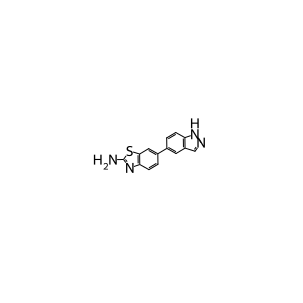 Nc1nc2ccc(-c3ccc4[nH]ncc4c3)cc2s1